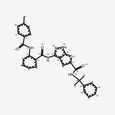 Cc1ccc(C(=O)Nc2ccccc2C(=O)Nc2n[nH]c3sc(C(=O)NC(C)(C)c4ccccc4)cc23)cc1